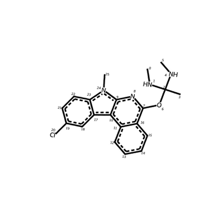 CNC(C)(NC)Oc1nc2c(c3ccccc13)c1cc(Cl)ccc1n2C